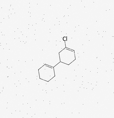 ClC1=CCCC(C2=CCCCC2)C1